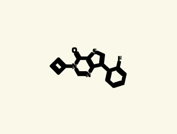 O=c1c2scc(-c3ccccc3F)c2ncn1C1=CC=C1